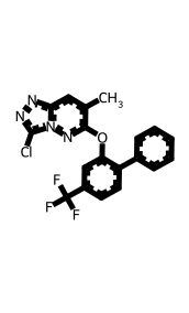 Cc1cc2nnc(Cl)n2nc1Oc1cc(C(F)(F)F)ccc1-c1ccccc1